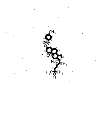 Cc1ccc(S(=O)(=O)OC2CC3=CCC4C5CC[C@H]([C@H](C)CCCC(C)(C)O)[C@@]5(C)CCC4[C@@]3(C)[C@@H](O)C2)cc1